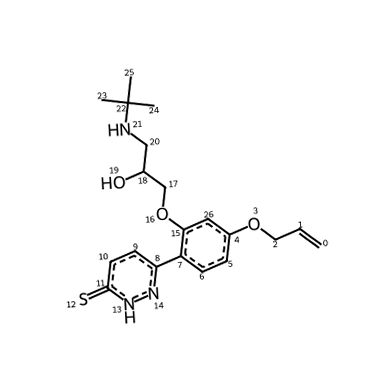 C=CCOc1ccc(-c2ccc(=S)[nH]n2)c(OCC(O)CNC(C)(C)C)c1